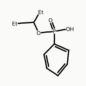 CCC(CC)OP(=O)(O)c1ccccc1